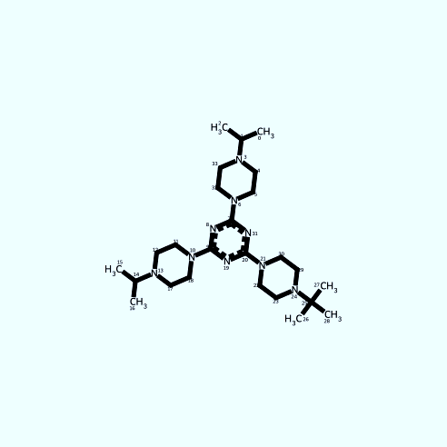 CC(C)N1CCN(c2nc(N3CCN(C(C)C)CC3)nc(N3CCN(C(C)(C)C)CC3)n2)CC1